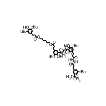 CC(C)(C)c1cc(CCC(=O)OCCCCCCOC(=O)CCc2cc(C(C)(C)C)c(O)c(C(C)(C)CCC(C)(C)c3cc(CCC(=O)NNC(=O)CCc4cc(C(C)(C)C)c5c(c4)C(C)(C)O5)cc(C(C)(C)C)c3O)c2)cc(C(C)(C)C)c1O